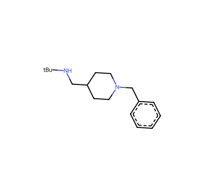 CC(C)(C)NCC1CCN(Cc2ccccc2)CC1